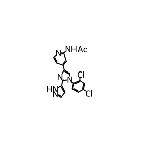 CC(=O)Nc1cc(-c2cn(-c3ccc(Cl)cc3Cl)c(-c3ccn[nH]3)n2)ccn1